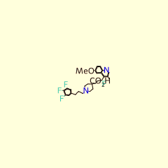 COc1ccc2ncc(C)c([C@H](F)CCC3(C(=O)O)CCN(CCCc4cc(F)c(F)c(F)c4)CC3)c2c1